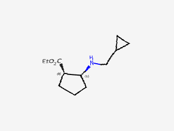 CCOC(=O)[C@@H]1CCC[C@@H]1NCC1CC1